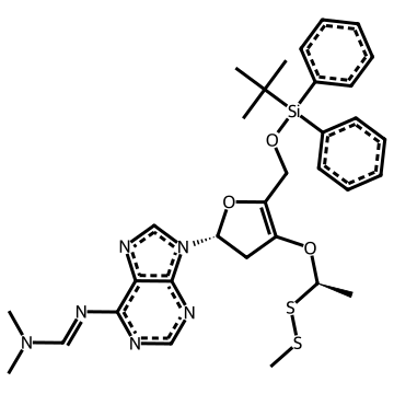 CSS[C@H](C)OC1=C(CO[Si](c2ccccc2)(c2ccccc2)C(C)(C)C)O[C@@H](n2cnc3c(/N=C/N(C)C)ncnc32)C1